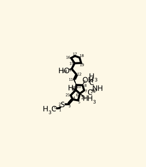 CCSC=C1C[C@H]2C[C@@H](O)[C@H](C=C[C@@H](O)C3CCCC3)[C@H]2C1.CNC